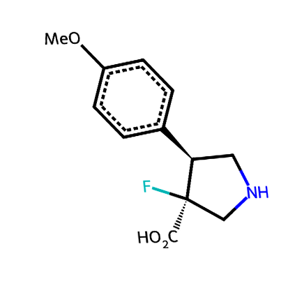 COc1ccc([C@H]2CNC[C@]2(F)C(=O)O)cc1